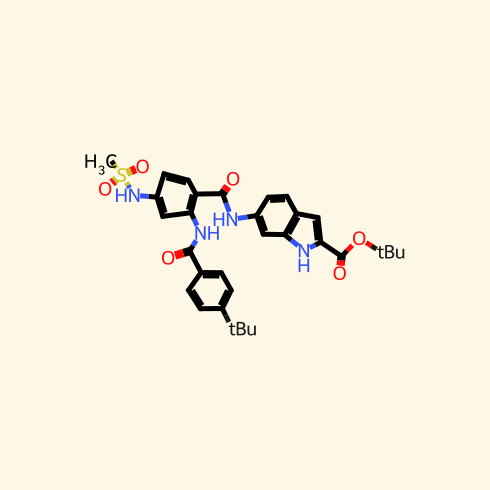 CC(C)(C)OC(=O)c1cc2ccc(NC(=O)c3ccc(NS(C)(=O)=O)cc3NC(=O)c3ccc(C(C)(C)C)cc3)cc2[nH]1